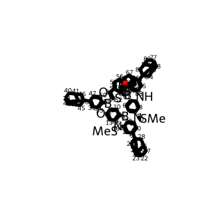 CSN1c2cc3c(cc2B2c4cc5c(cc4N(SC)c4cc(C67CC8CC(CC(C8)C6)C7)cc1c42)Oc1cc(C24CC6CC(CC(C6)C2)C4)cc2c1B5c1sc4ccccc4c1O2)B1c2sc4ccccc4c2Oc2cc(C45CC6CC(CC(C6)C4)C5)cc(c21)N3